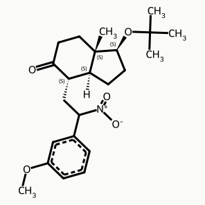 COc1cccc(C(C[C@@H]2C(=O)CC[C@]3(C)[C@@H](OC(C)(C)C)CC[C@@H]23)[N+](=O)[O-])c1